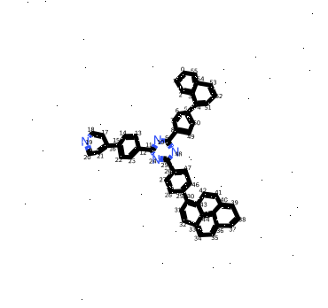 c1ccc2c(-c3ccc(-c4nc(-c5ccc(-c6ccncc6)cc5)nc(-c5ccc(-c6ccc7ccc8cccc9ccc6c7c89)cc5)n4)cc3)cccc2c1